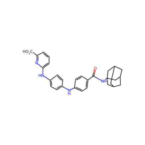 O=C(NC12CC3CC(CC(C3)C1)C2)c1ccc(Nc2ccc(Nc3cccc(C(=O)O)n3)cc2)cc1